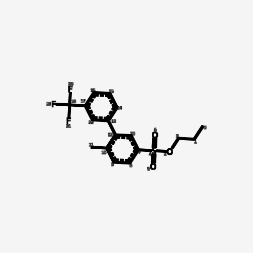 CCCOS(=O)(=O)c1ccc(C)c(-c2cccc(C(F)(F)F)c2)c1